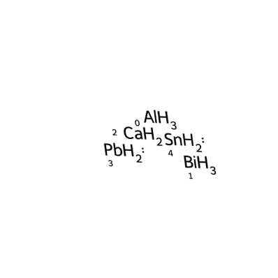 [AlH3].[BiH3].[CaH2].[PbH2].[SnH2]